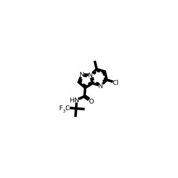 Cc1cc(Cl)nc2c(C(=O)NC(C)(C)C(F)(F)F)cnn12